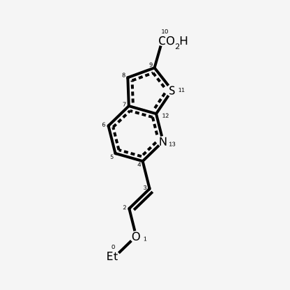 CCOC=Cc1ccc2cc(C(=O)O)sc2n1